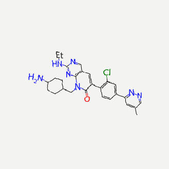 CCNc1ncc2cc(-c3ccc(-c4cc(C)cnn4)cc3Cl)c(=O)n(CC3CCC(N)CC3)c2n1